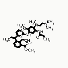 C=CC(=O)Nc1cc(Nc2nccc(/C(=C/C)c3cccc(C(=O)OC)c3CC)n2)c(OC)cc1N(C)CCN(C)C